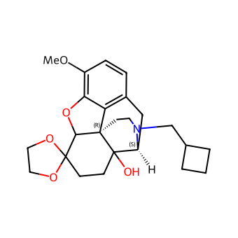 COc1ccc2c3c1OC1C4(CCC5(O)[C@H](C2)N(CC2CCC2)CC[C@@]315)OCCO4